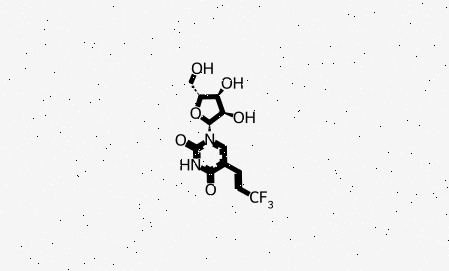 O=c1[nH]c(=O)n([C@@H]2O[C@H](CO)[C@@H](O)[C@H]2O)cc1C=CC(F)(F)F